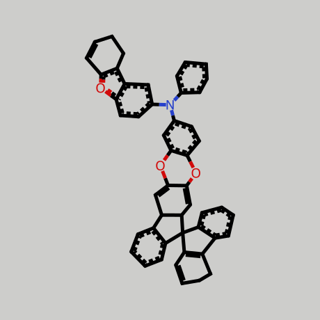 C1=CC2=C(CC1)c1ccccc1C21c2ccccc2C2C=C3Oc4cc(N(c5ccccc5)c5ccc6oc7c(c6c5)CCC=C7)ccc4OC3=CC21